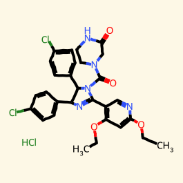 CCOc1cc(OCC)c(C2=NC(c3ccc(Cl)cc3)C(c3ccc(Cl)cc3)N2C(=O)N2CCNC(=O)C2)cn1.Cl